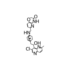 Cc1ccc2ncc(Cl)c(C(O)CC34CCC(NCc5ccc6c(n5)NC(=O)CO6)(CC3)CC4)c2n1